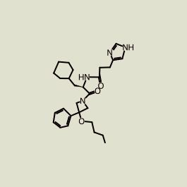 CCCCOC1(c2ccccc2)CN(C(=O)[C@@H](CC2CCCCC2)NC(=O)CCc2c[nH]cn2)C1